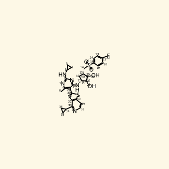 Cc1nc(NC2CC2)nc(N[C@@H]2C[C@H](CS(=O)(=O)c3ccc(F)cc3)[C@@H](O)[C@H]2O)c1-c1nc2c(C3CC3)nccc2s1